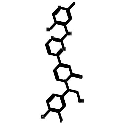 Cc1cc(Nc2nccc(-c3ccn(C(CO)c4ccc(Cl)c(F)c4)c(=O)c3)n2)c(Br)cn1